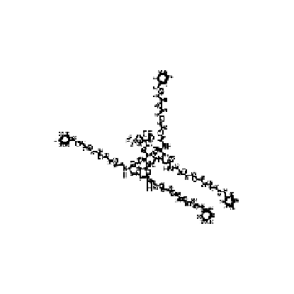 O=C(CN(CC(=O)NCCOCCOCCOCCOCc1ccccc1)C(=O)CN(CC(=O)N(CC(=O)NCCOCCOCCOCCOCc1ccccc1)CC(=O)NCCOCCOCCOCCOCc1ccccc1)C(=O)COCC(CC(F)(F)F)(CC(F)(F)F)CC(F)(F)F)NCCOCCOCCOCCOCc1ccccc1